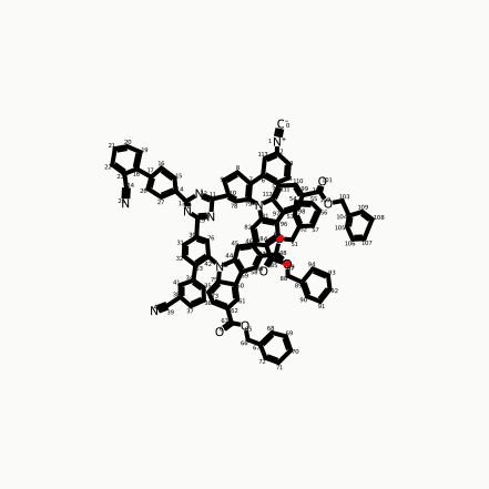 [C-]#[N+]c1cccc(-c2ccc(-c3nc(-c4ccc(-c5ccccc5C#N)cc4)nc(-c4ccc(-c5cccc(C#N)c5)c(-n5c6ccc(C(=O)OCc7ccccc7)cc6c6cc(C(=O)OCc7ccccc7)ccc65)c4)n3)cc2-n2c3ccc(C(=O)OCc4ccccc4)cc3c3cc(C(=O)OCc4ccccc4)ccc32)c1